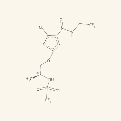 C[C@@H](COc1cc(C(=O)NCC(F)(F)F)c(Cl)s1)NS(=O)(=O)C(F)(F)F